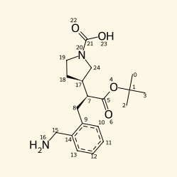 CC(C)(C)OC(=O)[C@@H](Cc1ccccc1CN)[C@H]1CCN(C(=O)O)C1